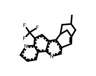 CC1CC2=Cc3cnc4c(cc(C(F)(F)F)c5ncccc54)c3C(C2)C1